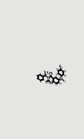 CCC(c1ccccc1)n1c(C)nc2ccc(N(C)c3ccc(F)cc3)cc2c1=O